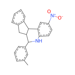 Cc1cccc(C2Nc3ccc([N+](=O)[O-])cc3C3c4ccccc4CC23)c1